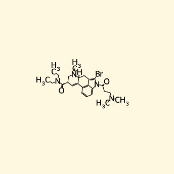 CCN(CC)C(=O)[C@@H]1C=C2c3cccc4c3c(c(Br)n4C(=O)CCN(C)C)C[C@H]2N(C)C1